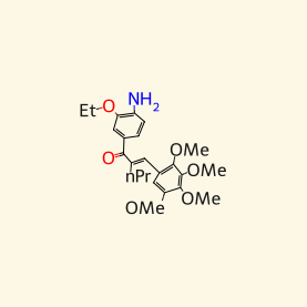 CCC/C(=C\c1cc(OC)c(OC)c(OC)c1OC)C(=O)c1ccc(N)c(OCC)c1